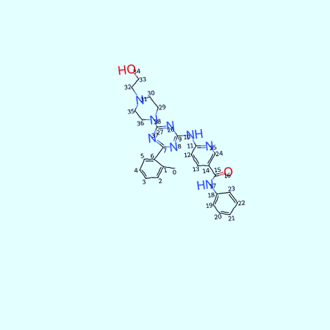 Cc1ccccc1-c1nc(Nc2ccc(C(=O)Nc3ccccc3)cn2)nc(N2CCN(CCO)CC2)n1